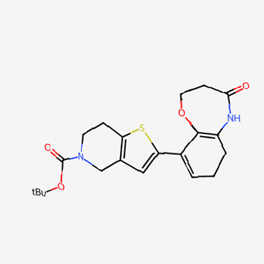 CC(C)(C)OC(=O)N1CCc2sc(C3=CCCC4=C3OCCC(=O)N4)cc2C1